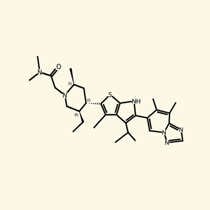 CC[C@H]1CN(CC(=O)N(C)C)[C@@H](C)C[C@@H]1c1sc2[nH]c(-c3cn4ncnc4c(C)c3C)c(C(C)C)c2c1C